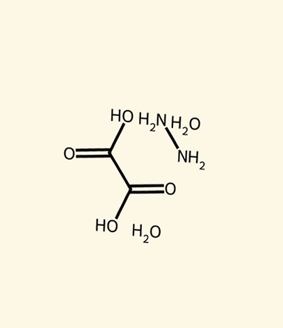 NN.O.O.O=C(O)C(=O)O